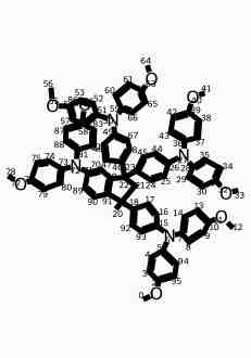 COc1ccc(N(c2ccc(OC)cc2)c2ccc(C3(C)CC(c4ccc(N(c5ccc(OC)cc5)c5ccc(OC)cc5)cc4)(c4ccc(N(c5ccc(OC)cc5)c5ccc(OC)cc5)cc4)c4cc(N(c5ccc(OC)cc5)c5ccc(OC)cc5)ccc43)cc2)cc1